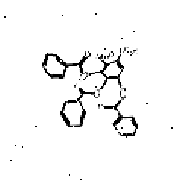 COc1c(C(=O)O)cc(OC(=O)c2ccccc2)c(OC(=O)c2ccccc2)c1OC(=O)c1ccccc1